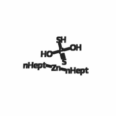 CCCCCC[CH2][Zn][CH2]CCCCCC.OP(O)(=S)S